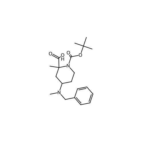 CN(Cc1ccccc1)C1CCN(C(=O)OC(C)(C)C)C(C)(C(=O)O)C1